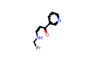 CC(C)CN/C=C\C(=O)c1cccnc1